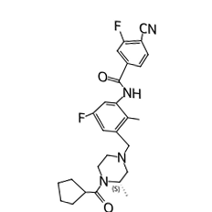 Cc1c(CN2CCN(C(=O)C3CCCC3)[C@@H](C)C2)cc(F)cc1NC(=O)c1ccc(C#N)c(F)c1